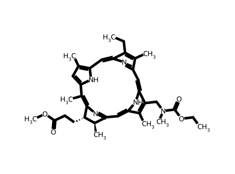 CCOC(=O)N(C)Cc1c(C)c2cc3nc(c(C)c4cc(C)c(cc5nc(cc1[nH]2)C(C)=C5CC)[nH]4)[C@@H](CCC(=O)OC)[C@@H]3C